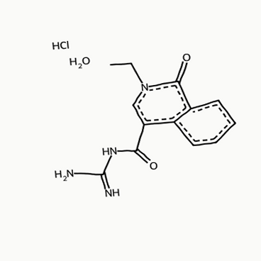 CCn1cc(C(=O)NC(=N)N)c2ccccc2c1=O.Cl.O